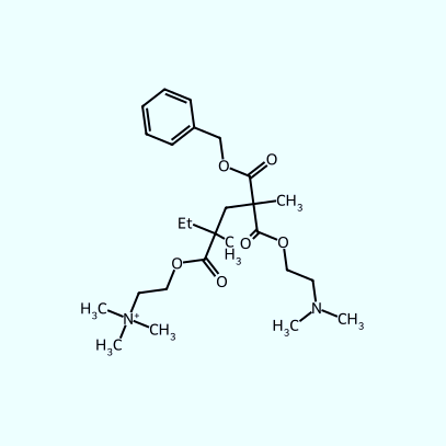 CCC(C)(CC(C)(C(=O)OCCN(C)C)C(=O)OCc1ccccc1)C(=O)OCC[N+](C)(C)C